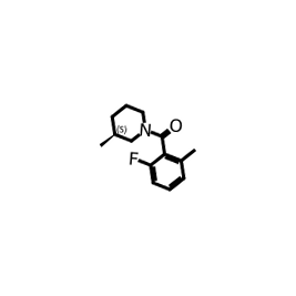 Cc1cccc(F)c1C(=O)N1CCC[C@H](C)C1